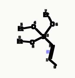 C/C=C/[Si](OCC)(OCC)OCC